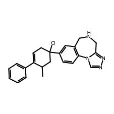 CC1CC(Cl)(c2ccc3c(c2)CNCc2nncn2-3)CC=C1c1ccccc1